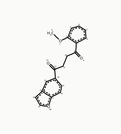 COc1ccccc1C(=O)CCC(=O)c1ccc2occc2c1